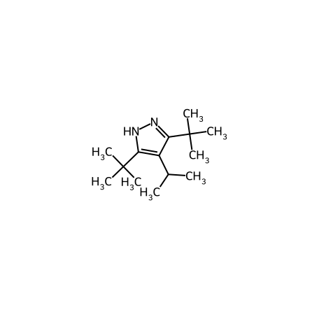 CC(C)c1c(C(C)(C)C)n[nH]c1C(C)(C)C